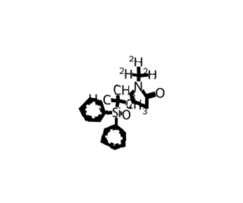 [2H]C([2H])([2H])N1C[C@@H](O[Si](c2ccccc2)(c2ccccc2)C(C)(C)C)CC1=O